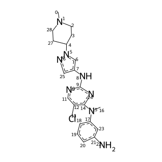 CN1CCC(n2cc(Nc3ncc(Cl)c(N(C)c4cccc(N)c4)n3)cn2)CC1